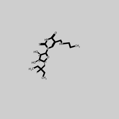 CCCNCc1cn(C2O[C@H](CC(I)(CC)CC)[C@@H](O)[C@H]2O)c(=S)[nH]c1=O